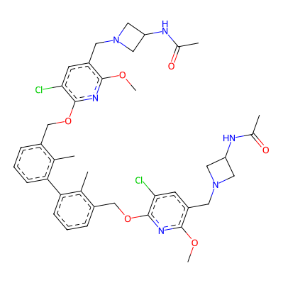 COc1nc(OCc2cccc(-c3cccc(COc4nc(OC)c(CN5CC(NC(C)=O)C5)cc4Cl)c3C)c2C)c(Cl)cc1CN1CC(NC(C)=O)C1